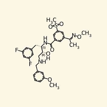 CON=C(C)c1cc(C(=O)N[C@@H](Cc2cc(F)cc(F)c2)[C@H](O)CNCc2cccc(OC)c2)cc(S(C)(=O)=O)c1